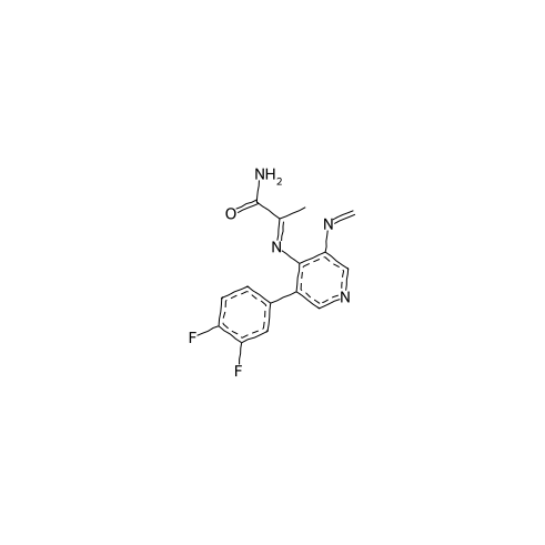 C=Nc1cncc(-c2ccc(F)c(F)c2)c1/N=C(\C)C(N)=O